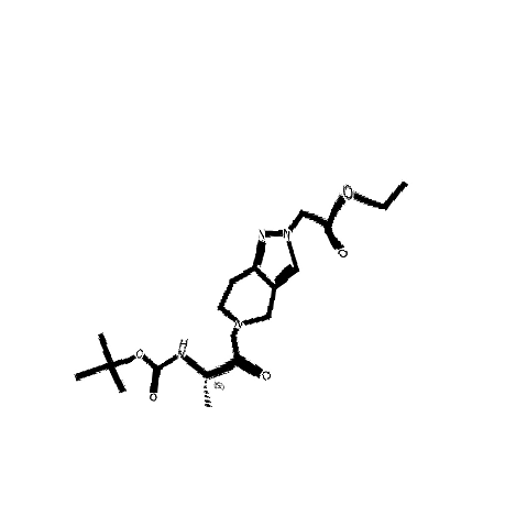 CCOC(=O)Cn1cc2c(n1)CCN(C(=O)[C@H](C)NC(=O)OC(C)(C)C)C2